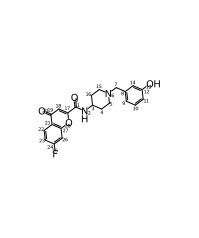 O=C(NC1CCN(Cc2cccc(O)c2)CC1)c1cc(=O)c2ccc(F)cc2o1